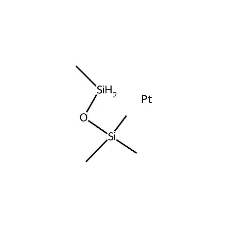 C[SiH2]O[Si](C)(C)C.[Pt]